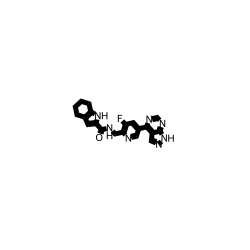 O=C(NCc1ncc(-c2ncnc3[nH]ncc23)cc1F)c1cc2c([nH]1)CCCC2